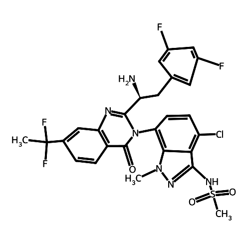 Cn1nc(NS(C)(=O)=O)c2c(Cl)ccc(-n3c([C@@H](N)Cc4cc(F)cc(F)c4)nc4cc(C(C)(F)F)ccc4c3=O)c21